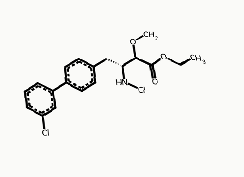 CCOC(=O)C(OC)[C@@H](Cc1ccc(-c2cccc(Cl)c2)cc1)NCl